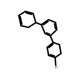 ClC1=CC=C(c2cccc(C3C=CC=CC3)c2)CC1